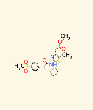 CCOC(=O)Cc1nc(NC(=O)[C@H](CC2CCCC2)c2ccc(S(C)(=O)=O)cc2)sc1C